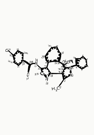 Cc1nn(-c2ccccc2)c(C)c1-c1noc(NC(=O)c2ccc(Cl)cc2)c1-c1ccccc1C(=O)O